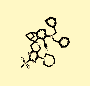 CS(=O)(=O)c1nc2c(c(N3CCCOCC3)n1)COC1(C2)c2c(ccc(N(Cc3ccccc3)Cc3ccccc3)c2C#N)C2CC1C2